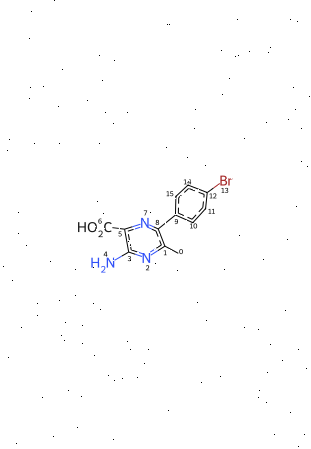 Cc1nc(N)c(C(=O)O)nc1-c1ccc(Br)cc1